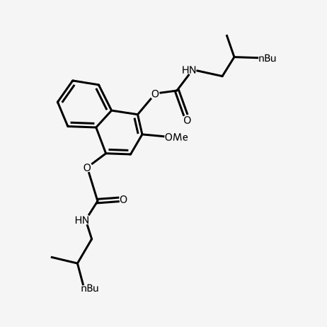 CCCCC(C)CNC(=O)Oc1cc(OC)c(OC(=O)NCC(C)CCCC)c2ccccc12